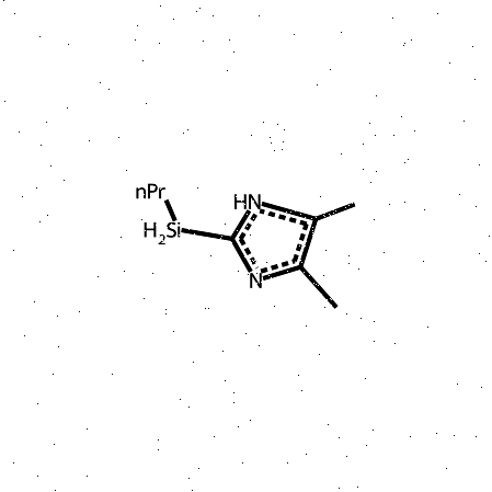 CCC[SiH2]c1nc(C)c(C)[nH]1